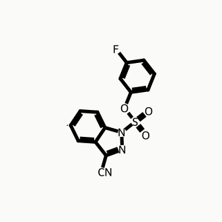 N#Cc1nn(S(=O)(=O)Oc2cccc(F)c2)c2cc[c]cc12